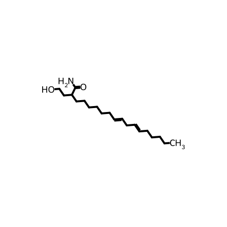 CCCCCC=CCC=CCCCCCCC(CCO)C(N)=O